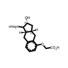 CCCCCCCC1[C@H](O)C[C@@H]2Cc3c(cccc3OCC(=O)O)C[C@H]12